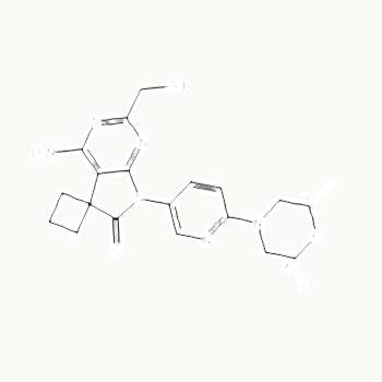 C[C@@H]1CN(c2ccc(N3C(=O)C4(CCC4)c4c(N)nc(CO)nc43)cn2)C[C@H](C)O1